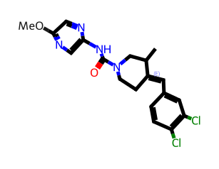 COc1cnc(NC(=O)N2CC/C(=C\c3ccc(Cl)c(Cl)c3)C(C)C2)cn1